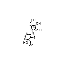 CC(=O)CC1(O)N=CN=C2C1=NCN2[C@@H]1O[C@H](CO)[C@@H](O)[C@H]1S